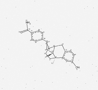 CN1CC[C@]2(C)c3cc(O)ccc3CC1[C@H]2COc1ccc(C(N)=O)cc1